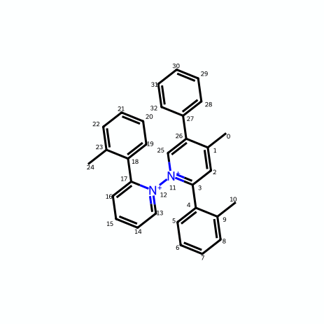 Cc1cc(-c2ccccc2C)[n+](-[n+]2ccccc2-c2ccccc2C)cc1-c1ccccc1